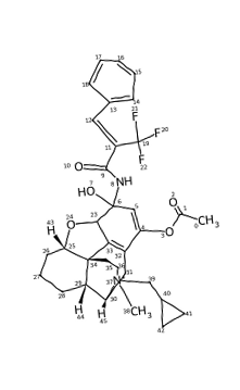 CC(=O)OC1=CC(O)(NC(=O)C(=Cc2ccccc2)C(F)(F)F)C2O[C@H]3CCC[C@H]4[C@H]5CC1=C2[C@@]34CC[N+]5(C)CC1CC1